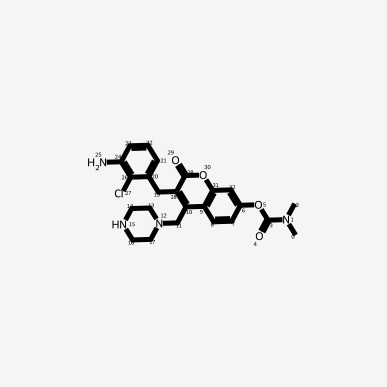 CN(C)C(=O)Oc1ccc2c(CN3CCNCC3)c(Cc3cccc(N)c3Cl)c(=O)oc2c1